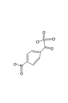 O=C(c1ccc([N+](=O)[O-])cc1)S(=O)(=O)Cl